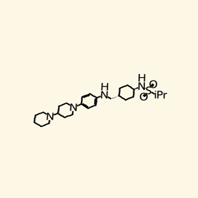 CC(C)S(=O)(=O)N[C@H]1CC[C@H](CNc2ccc(N3CCC(N4CCCCC4)CC3)cc2)CC1